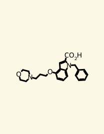 O=C(O)c1cc2c(OCCCN3CCOCC3)cccc2n1Cc1ccccc1